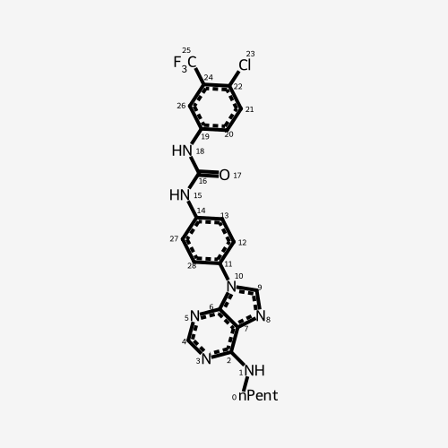 CCCCCNc1ncnc2c1ncn2-c1ccc(NC(=O)Nc2ccc(Cl)c(C(F)(F)F)c2)cc1